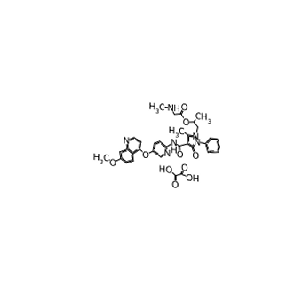 CNCC(=O)OC(C)Cn1c(C)c(C(=O)Nc2ccc(Oc3ccnc4cc(OC)ccc34)cn2)c(=O)n1-c1ccccc1.O=C(O)C(=O)O